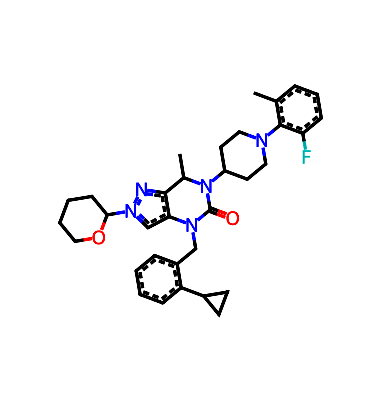 Cc1cccc(F)c1N1CCC(N2C(=O)N(Cc3ccccc3C3CC3)c3cn(C4CCCCO4)nc3C2C)CC1